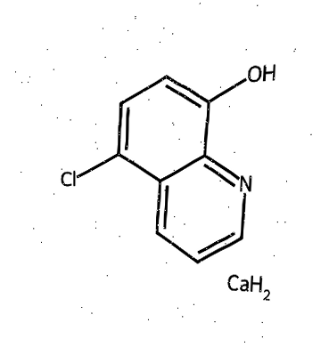 Oc1ccc(Cl)c2cccnc12.[CaH2]